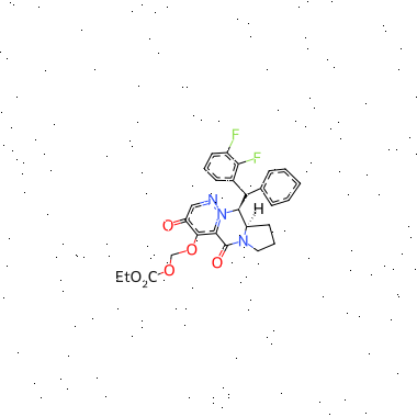 CCOC(=O)OCOc1c2n(ncc1=O)[C@@H](C(c1ccccc1)c1cccc(F)c1F)[C@H]1CCCN1C2=O